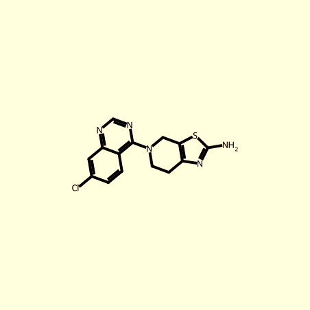 Nc1nc2c(s1)CN(c1ncnc3cc(Cl)ccc13)CC2